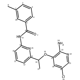 Cc1cccc(C(=O)Nc2cccc(C(C)Oc3cc(Cl)cnc3N)n2)c1